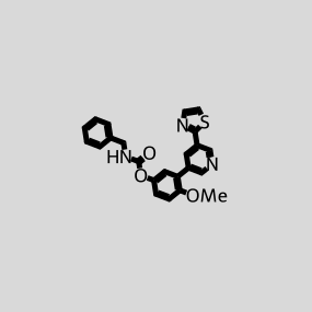 COc1ccc(OC(=O)NCc2ccccc2)cc1-c1cncc(-c2nccs2)c1